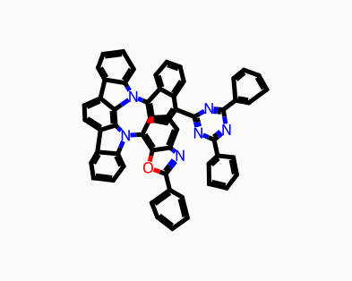 c1ccc(-c2nc(-c3ccccc3)nc(-c3ccc(-n4c5ccccc5c5ccc6c7ccccc7n(-c7cccc8nc(-c9ccccc9)oc78)c6c54)c4ccccc34)n2)cc1